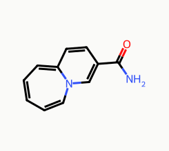 NC(=O)C1=CN2C=CC=CC=C2C=C1